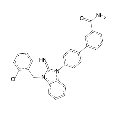 N=c1n(Cc2ccccc2Cl)c2ccccc2n1-c1ccc(-c2cccc(C(N)=O)c2)cc1